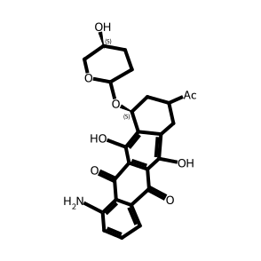 CC(=O)C1Cc2c(O)c3c(c(O)c2[C@@H](OC2CC[C@H](O)CO2)C1)C(=O)c1c(N)cccc1C3=O